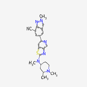 CC1CC(N(C)c2nc3cnc(-c4cc(C#N)c5nn(C)cc5c4)cc3s2)CCN1C